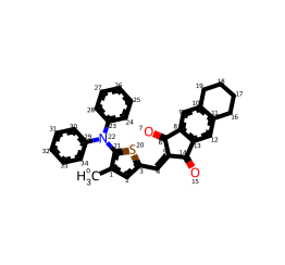 Cc1cc(C=C2C(=O)c3cc4c(cc3C2=O)CCCC4)sc1N(c1ccccc1)c1ccccc1